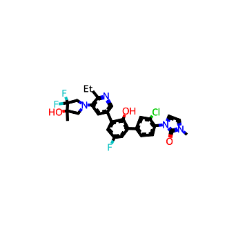 CCc1ncc(-c2cc(F)cc(-c3ccc(-n4ccn(C)c4=O)c(Cl)c3)c2O)cc1N1CC(C)(O)C(F)(F)C1